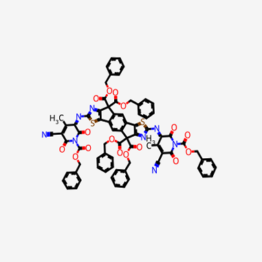 CC1=C(C#N)C(=O)N(C(=O)OCc2ccccc2)C(=O)/C1=N\c1nc2c(s1)-c1cc3c(cc1C2(C(=O)OCc1ccccc1)C(=O)OCc1ccccc1)-c1sc(/N=C2/C(=O)N(C(=O)OCc4ccccc4)C(=O)C(C#N)=C2C)nc1C3(C(=O)OCc1ccccc1)C(=O)OCc1ccccc1